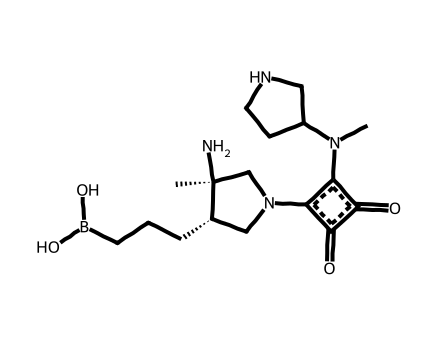 CN(c1c(N2C[C@H](CCCB(O)O)[C@@](C)(N)C2)c(=O)c1=O)C1CCNC1